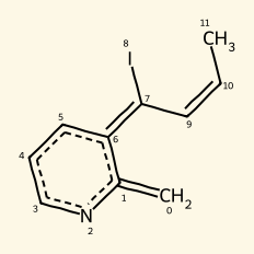 C=c1nccc/c1=C(I)/C=C\C